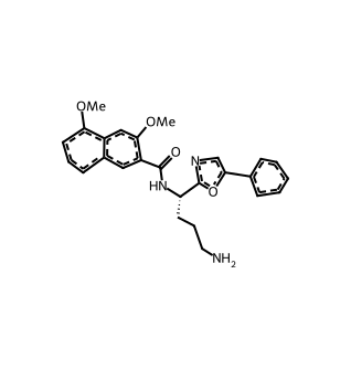 COc1cc2c(OC)cccc2cc1C(=O)N[C@@H](CCCN)c1ncc(-c2ccccc2)o1